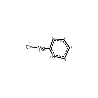 [Cl][Mg][c]1ccccn1